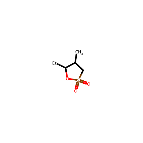 CCC1OS(=O)(=O)CC1C